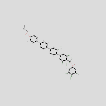 CCCOc1ccc(-c2ccc(-c3ccc(-c4cc(F)c(C(F)(F)Oc5cc(F)c(F)c(F)c5)c(F)c4)c(F)c3)cc2)cc1